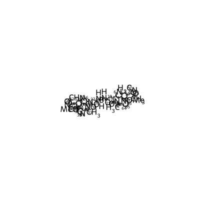 COc1cc2c3c(cnc2cc1-c1c(C)noc1C)C(CC(=O)NBNC(=O)Cn1c(=O)n([C@H](C)c2ccccn2)c2c4cc(OC)c(-c5c(C)noc5C)cc4ncc21)C(=O)N3[C@H](C)c1ccccn1